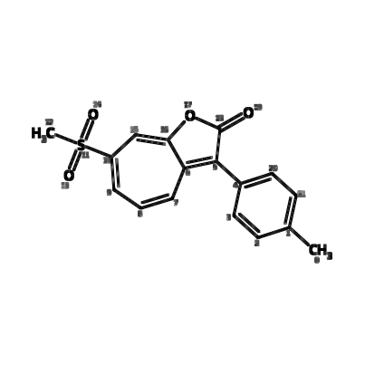 Cc1ccc(-c2c3cccc(S(C)(=O)=O)cc-3oc2=O)cc1